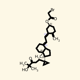 C=C1CC[C@H](OC(=O)CBr)C/C1=C/C=C1\CCC[C@@]2(C)C1CC[C@@H]2C1(CCC(=O)C(C)(C)O)CC1